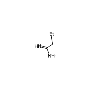 CCCC([NH])=N